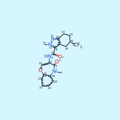 CN1C(=O)C(NC(=O)c2c3c(nn2C)CC[C@@H](C(F)(F)F)C3)=COc2ccccc21